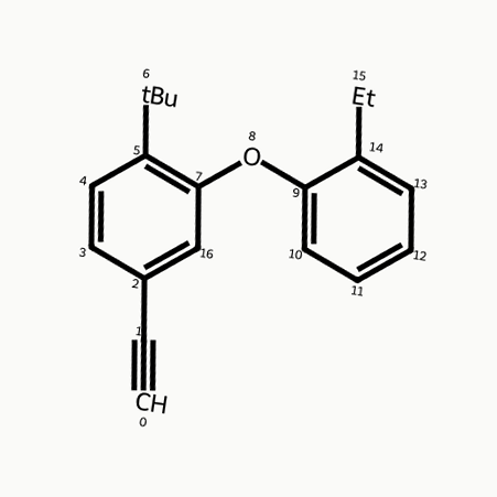 C#Cc1ccc(C(C)(C)C)c(Oc2ccccc2CC)c1